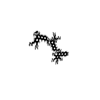 N#Cc1cc2c3cc4cc(-c5cnc6c7cc8ccc(-c9cnc%10c%11cc%12ccccc%12cc%11c%11c(C#N)c(C#N)c(C#N)c(C#N)c%11c%10n9)cc8cc7c7nc(C#N)c(C#N)nc7c6n5)ccc4cc3c3nccnc3c2cc1C#N